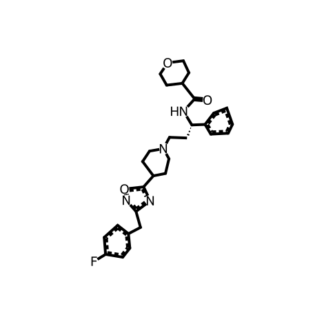 O=C(N[C@@H](CCN1CCC(c2nc(Cc3ccc(F)cc3)no2)CC1)c1ccccc1)C1CCOCC1